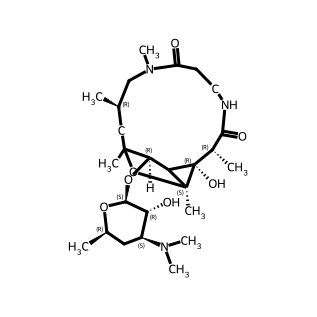 C[C@H]1CN(C)C(=O)CCNC(=O)[C@H](C)[C@]2(O)C3[C@@H](O[C@@H]4O[C@H](C)C[C@H](N(C)C)[C@H]4O)C(C)(C1)O[C@@]32C